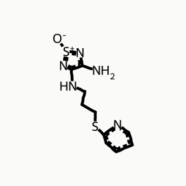 Nc1n[s+]([O-])nc1NCCCSc1ccccn1